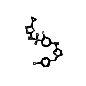 O=S(=O)(Nc1nnc(C2CC2)s1)c1ccc(Nc2ccn(Cc3ccc(Cl)cc3)n2)cc1F